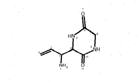 C=CC(N)C1NC(=O)CNC1=O